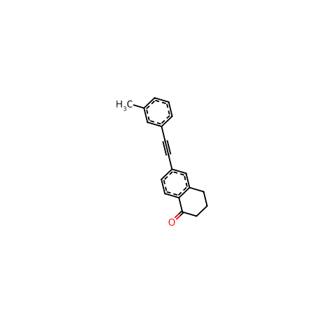 Cc1cccc(C#Cc2ccc3c(c2)CCCC3=O)c1